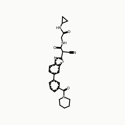 N#CC(C(=O)NCC(=O)NC1CC1)c1nc2ccc(-c3cccc(C(=O)N4CCCCC4)c3)cc2s1